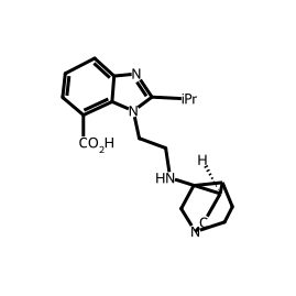 CC(C)c1nc2cccc(C(=O)O)c2n1CCN[C@@H]1CN2CCC1CC2